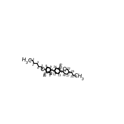 CCCCCCOc1ccc(-c2ccc(C3CCC(CCC)CO3)c(F)c2)c(F)c1F